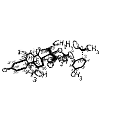 CC(C)[C@@H]1CC[C@@H](C)C[C@H]1OC(=O)O[C@]1(C(=O)O)[C@H](C)C[C@H]2[C@@H]3C[C@H](F)C4=CC(=O)C=C[C@]4(C)[C@@]3(F)[C@@H](O)C[C@@]21C